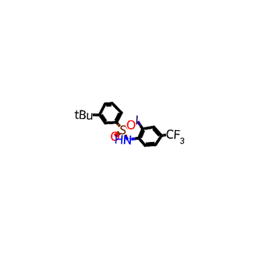 CC(C)(C)c1cccc(S(=O)(=O)Nc2ccc(C(F)(F)F)cc2I)c1